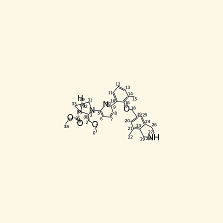 COC[C@@H]1N(c2cccc(-c3cccc(C)c3OCc3cc(C)c4c(c3)CCNC4)n2)C[C@@H]2C[C@@]21C(=O)OC